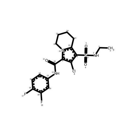 CCNS(=O)(=O)c1c(Cl)c(C(=O)Nc2ccc(F)c(F)c2)n2c1CCCC2